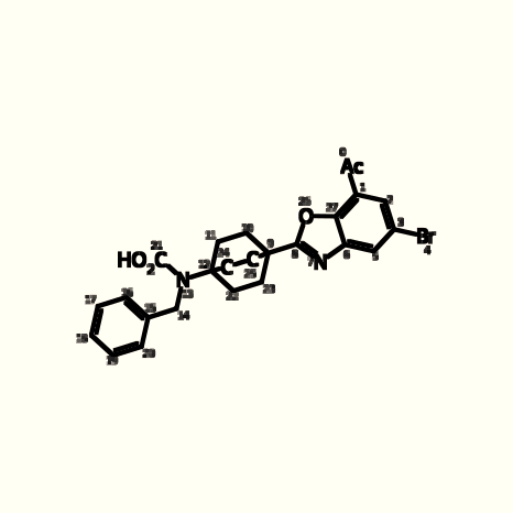 CC(=O)c1cc(Br)cc2nc(C34CCC(N(Cc5ccccc5)C(=O)O)(CC3)CC4)oc12